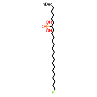 CCCCCCCCCCCCCCCC(CCCCCCCCCCCCCCCCCF)P(=O)(O)O